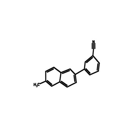 Cc1ccc2cc(-c3cccc(C#N)c3)ccc2c1